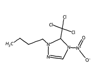 CCCCN1N=CN([N+](=O)[O-])C1C(Cl)(Cl)Cl